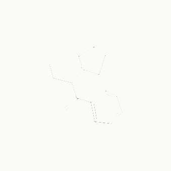 CC(C)CC(C(=O)c1ccccc1)N1CCCC1